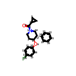 O=C(C1CC1)N1CC[C@H](Oc2ccc(F)cc2)[C@@H](c2ccccc2)C1